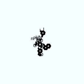 CCCN(C(=O)NCc1ccc(I)c(I)c1)N1CC(=O)N2[C@@H](Cc3ccc4occc4c3)C(=O)N(Cc3cccc4ccccc34)C[C@@H]21